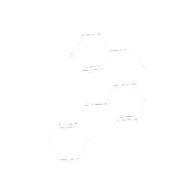 c1ccc(Cc2cccc3ccc4ccccc4c23)cc1